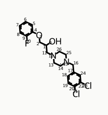 OC(COc1ccccc1F)CN1C[CH]N(Cc2ccc(Cl)c(Cl)c2)CC1